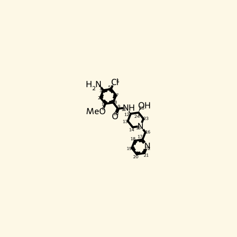 COc1cc(N)c(Cl)cc1C(=O)N[C@H]1CCN(Cc2ccccn2)C[C@H]1O